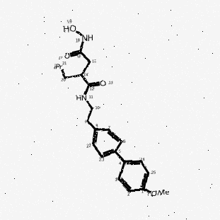 COc1ccc(-c2ccc(CCNC(=O)C(CC(=O)NO)CC(C)C)cc2)cc1